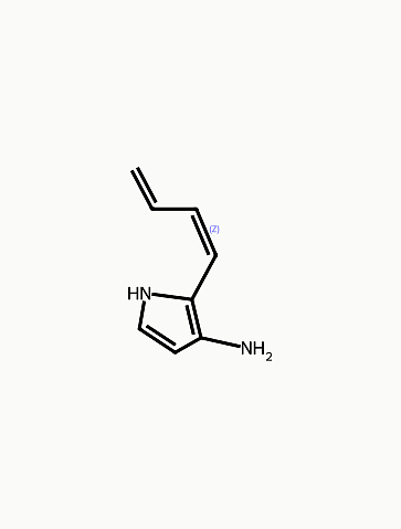 C=C/C=C\c1[nH]ccc1N